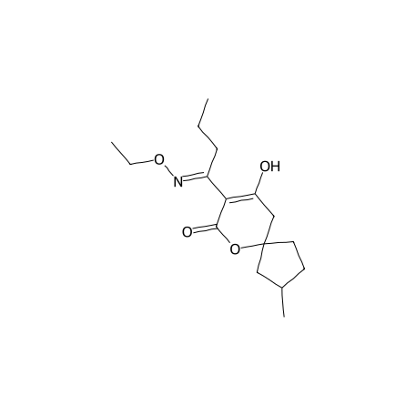 CCCC(=NOCC)C1=C(O)CC2(CCC(C)C2)OC1=O